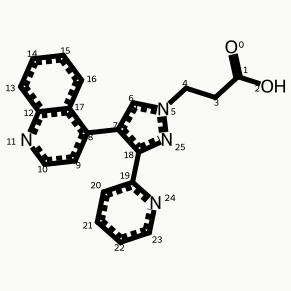 O=C(O)CCn1cc(-c2ccnc3ccccc23)c(-c2ccccn2)n1